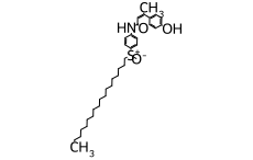 CCCCCCCCCCCCCCCCCC[S+]([O-])c1ccc(NC(=O)C=C(C)c2ccc(O)cc2)cc1